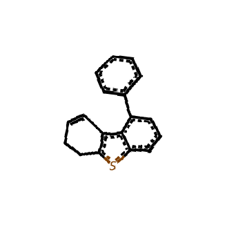 C1=Cc2c(sc3cccc(-c4ccccc4)c23)CC1